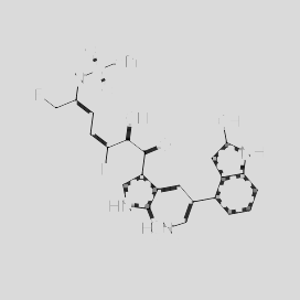 C=C(C(=O)c1c[nH]c(=C)/c1=C\C(=C/N)c1cccc2[nH]c(C)cc12)/C(F)=C\C=C(/CF)NS(=O)(=O)CCC